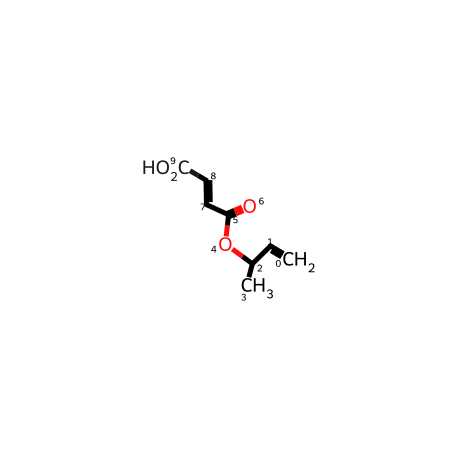 C=CC(C)OC(=O)/C=C/C(=O)O